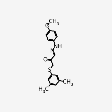 COc1ccc(NN=CC(=O)CSc2cc(C)cc(C)c2)cc1